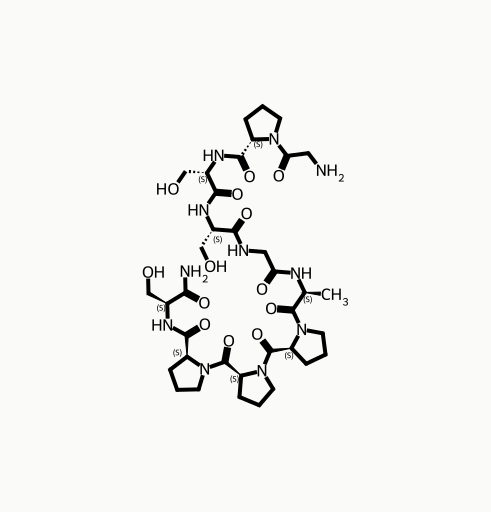 C[C@H](NC(=O)CNC(=O)[C@H](CO)NC(=O)[C@H](CO)NC(=O)[C@@H]1CCCN1C(=O)CN)C(=O)N1CCC[C@H]1C(=O)N1CCC[C@H]1C(=O)N1CCC[C@H]1C(=O)N[C@@H](CO)C(N)=O